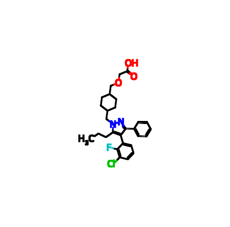 CCCc1c(-c2cccc(Cl)c2F)c(-c2ccccc2)nn1CC1CCC(COCC(=O)O)CC1